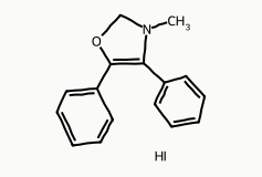 CN1COC(c2ccccc2)=C1c1ccccc1.I